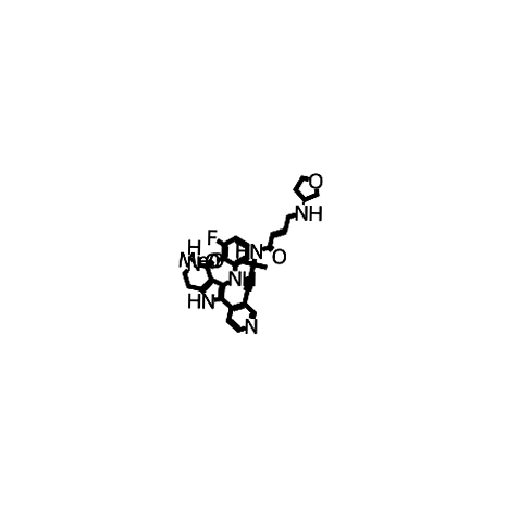 COc1c(F)cccc1Nc1c(-c2ccncc2C#CC(C)(C)NC(=O)/C=C/CN[C@@H]2CCOC2)[nH]c2c1C(=O)NCC2